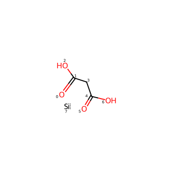 O=C(O)CC(=O)O.[Si]